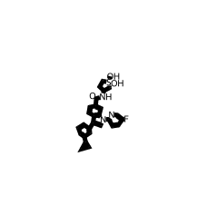 O=C(NC1CCS(O)(O)C1)c1ccc2c(-c3cccc(C4CC4)c3)cn(-c3ccc(F)cn3)c2c1